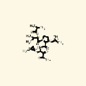 CC(C)C[C@H]1CCN(C(=O)[C@@H](NC(=O)C(C)C)C(C)C)[C@@H]1C(=O)NC(C[C@H]1C[C@@H]1C)C(=O)C(N)=O